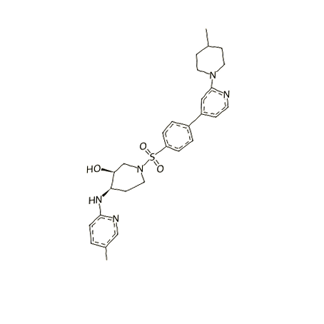 Cc1ccc(N[C@@H]2CCN(S(=O)(=O)c3ccc(-c4ccnc(N5CCC(C)CC5)c4)cc3)C[C@@H]2O)nc1